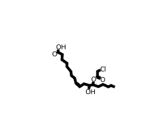 CCCCCC(OC(=O)CCl)C(O)C/C=C\CCCCCCCC(=O)O